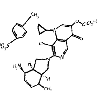 CC1C=C[C@@H](N)[C@H]2CN(c3ncc4c(=O)c(OC(=O)O)cn(C5CC5)c4c3Cl)C[C@@H]12.Cc1ccc(S(=O)(=O)O)cc1